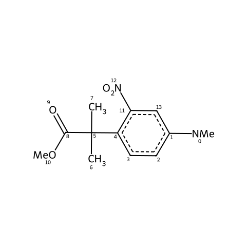 CNc1ccc(C(C)(C)C(=O)OC)c([N+](=O)[O-])c1